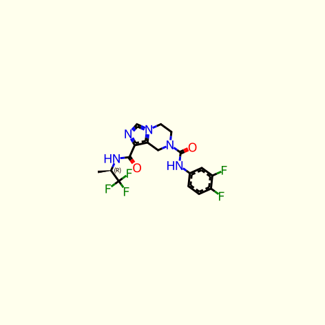 C[C@@H](NC(=O)c1ncn2c1CN(C(=O)Nc1ccc(F)c(F)c1)CC2)C(F)(F)F